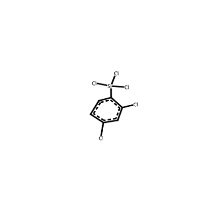 Clc1ccc([Si](Cl)(Cl)Cl)c(Cl)c1